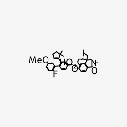 COc1ccc(F)c(-c2ccc(COc3ccc4c(c3)C(CI)(CC(=O)O)CN(C)C4=O)cc2C2=CCCC2(C)C)c1